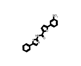 O=C(Nc1ncc(-c2ccccc2)s1)c1ccc(-c2cccc([N+](=O)[O-])c2)o1